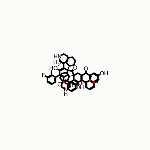 Cc1c(F)cccc1C1=C(C(=O)c2cccc(O)c2)CC(C(=O)C2([C@@H]3CCCC[C@H]3N)CC(C(=O)c3cccc(O)c3)=C(c3cccc(F)c3C)C(O)=C2C2CCCNC2)([C@@H]2CCCC[C@H]2N)C(C2CCCNC2)=C1O